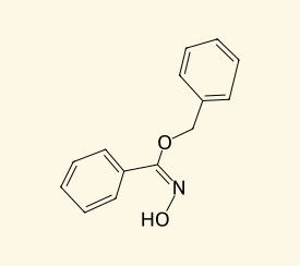 ON=C(OCc1ccccc1)c1ccccc1